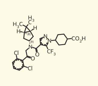 CC1(C)[C@@H]2C[C@H](N(CC(=O)c3c(Cl)cccc3Cl)C(=O)c3cnn(C4CCC(C(=O)O)CC4)c3C(F)(F)F)C[C@@H]21